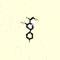 C/C=C(/Br)c1ncc(-c2ccc(F)cc2)cc1C